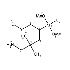 CO[Si](C)(OC)C(CCO)CC(C)(C)CN